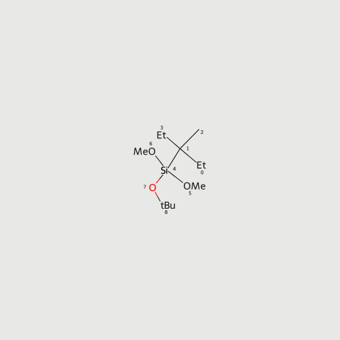 CCC(C)(CC)[Si](OC)(OC)OC(C)(C)C